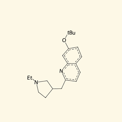 CCN1CCC(Cc2ccc3ccc(OC(C)(C)C)cc3n2)C1